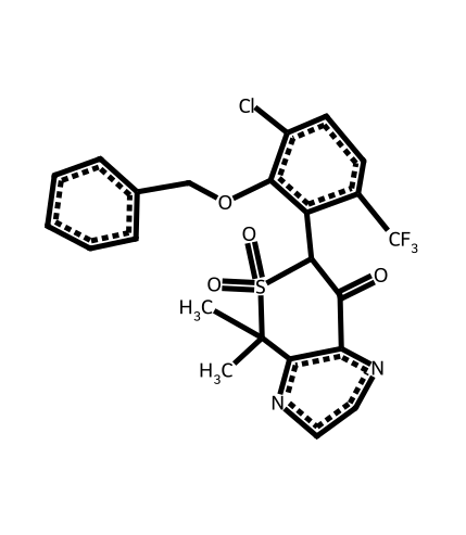 CC1(C)c2nccnc2C(=O)C(c2c(C(F)(F)F)ccc(Cl)c2OCc2ccccc2)S1(=O)=O